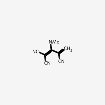 C=C(C#N)C(NC)=C(C#N)C#N